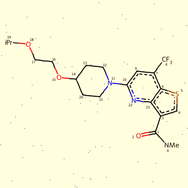 CNC(=O)c1csc2c(C(F)(F)F)cc(N3CCC(OCCOC(C)C)CC3)nc12